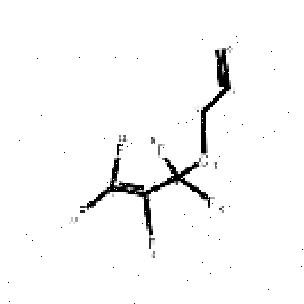 C=C[CH]OC(F)(F)C(F)=C(F)F